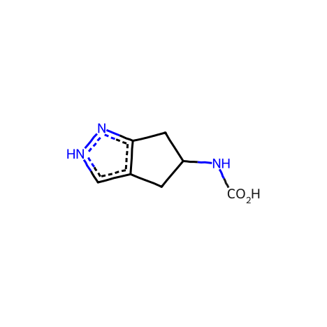 O=C(O)NC1Cc2c[nH]nc2C1